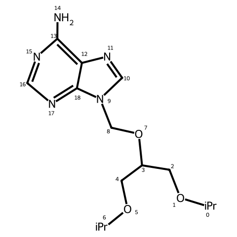 CC(C)OCC(COC(C)C)OCn1cnc2c(N)ncnc21